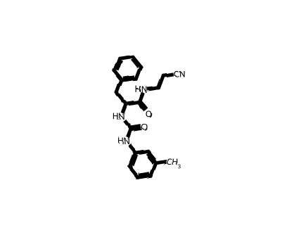 Cc1cccc(NC(=O)NC(Cc2ccccc2)C(=O)NCCC#N)c1